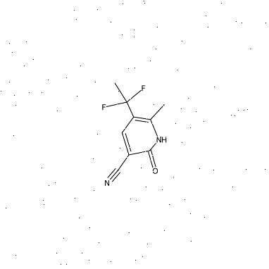 Cc1[nH]c(=O)c(C#N)cc1C(C)(F)F